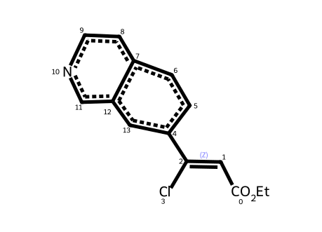 CCOC(=O)/C=C(\Cl)c1ccc2ccncc2c1